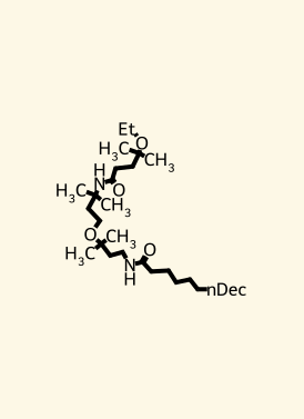 CCCCCCCCCCCCCCCC(=O)NCCC(C)(C)OCCC(C)(C)NC(=O)CCC(C)(C)OCC